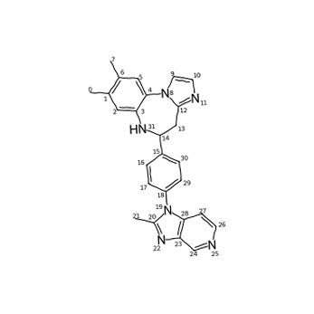 Cc1cc2c(cc1C)-n1ccnc1CC(c1ccc(-n3c(C)nc4cnccc43)cc1)N2